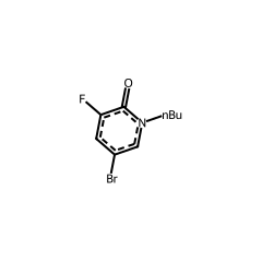 CCCCn1cc(Br)cc(F)c1=O